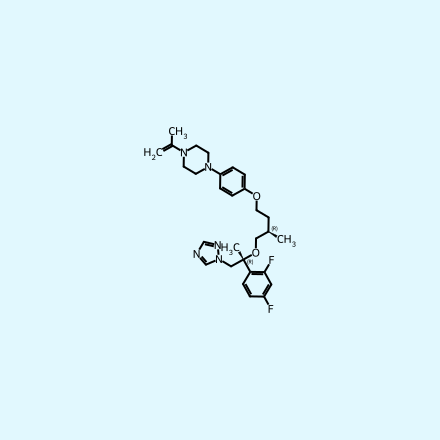 C=C(C)N1CCN(c2ccc(OCC[C@@H](C)CO[C@@](C)(Cn3cncn3)c3ccc(F)cc3F)cc2)CC1